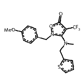 COc1ccc(Cn2oc(=O)c(C(F)(F)F)c2N(C)Cc2cccs2)cc1